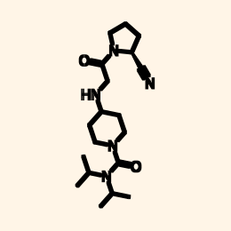 CC(C)N(C(=O)N1CCC(NCC(=O)N2CCC[C@H]2C#N)CC1)C(C)C